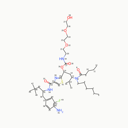 CCCCCCN(C(=O)CCCC)C(CC(OC(=O)NCCOCCOCCO)c1nc(C(=O)NC(Cc2ccc(N)c(F)c2)CC(C)(C)C)cs1)C(C)C